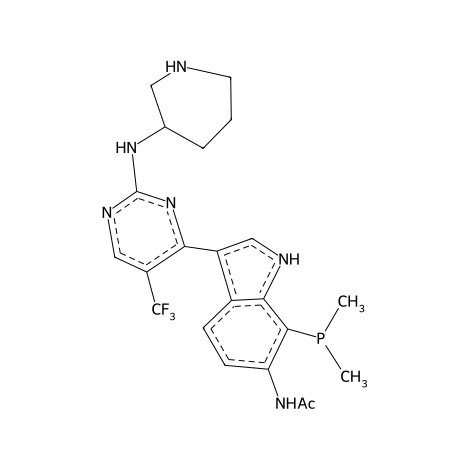 CC(=O)Nc1ccc2c(-c3nc(NC4CCCNC4)ncc3C(F)(F)F)c[nH]c2c1P(C)C